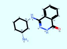 N[C@@H]1CCC[C@H](Nc2n[nH]c(=O)c3ccccc23)C1